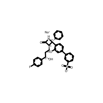 O=C1N[C@@](c2ccccc2)(c2ccc(-c3cccc(S(=O)(=O)[O-])c3)cc2O)[C@H]1CC[C@H](O)c1ccc(F)cc1.[Na+]